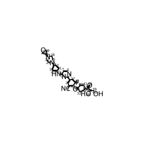 N#Cc1cc(-c2nccc(Nc3ccc(N4CCN(C5COC5)CC4)cc3)n2)ccc1O[C@H]1CCN(C(=O)[C@@H](O)CO)C[C@H]1F